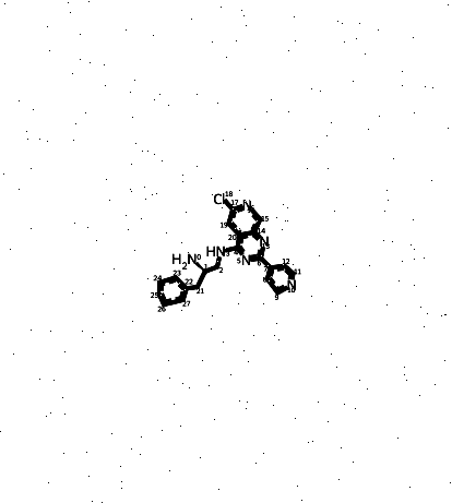 N[C@@H](CNc1nc(-c2ccncc2)nc2cnc(Cl)cc12)Cc1ccccc1